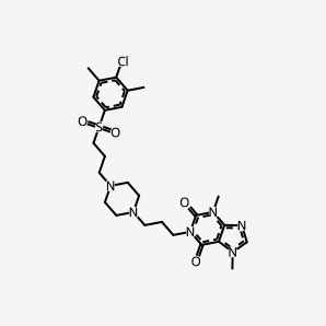 Cc1cc(S(=O)(=O)CCCN2CCN(CCCn3c(=O)c4c(ncn4C)n(C)c3=O)CC2)cc(C)c1Cl